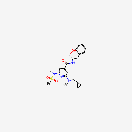 CCCN(CC1CC1)c1cc(C(=O)N[C@H](CO)Cc2ccccc2)cc(N(C)S(=O)(=O)C(C)C)n1